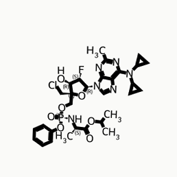 Cc1nc(N(C2CC2)C2CC2)c2ncn([C@@H]3O[C@](CCl)(CO[P@@](=O)(N[C@@H](C)C(=O)OC(C)C)Oc4ccccc4)[C@@H](O)[C@@H]3F)c2n1